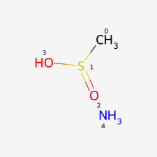 CS(=O)O.N